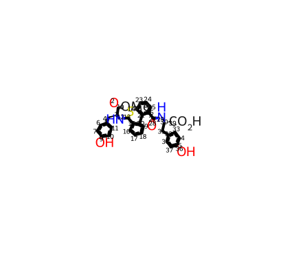 COC(=O)[C@H](Cc1ccc(O)cc1)NC(=S)c1ccccc1-c1ccccc1C(=O)N[C@@H](Cc1ccc(O)cc1)C(=O)O